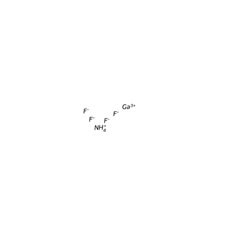 [F-].[F-].[F-].[F-].[Ga+3].[NH4+]